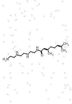 CC(C)=CCC/C(C)=C/C(=O)NCCNCCNCCN